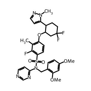 COc1ccc(CN(c2ccncn2)S(=O)(=O)c2ccc(OC3CC(F)(F)CCC3c3ccnn3C)c(C)c2F)c(OC)c1